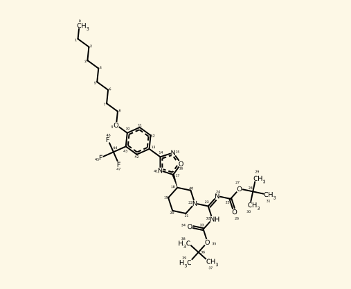 CCCCCCCCCOc1ccc(-c2noc([C@@H]3CCCN(C(=NC(=O)OC(C)(C)C)NC(=O)OC(C)(C)C)C3)n2)cc1C(F)(F)F